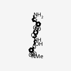 CNS(=O)(=O)c1cccc(OC[C@@H](O)CNC2COC3(CCN(S(=O)(=O)c4cccc(-c5ccc(CN)s5)c4)CC3)C2)c1